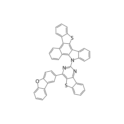 c1ccc2c(c1)oc1ccc(-c3nc(-n4c5ccccc5c5c6sc7ccccc7c6c6ccccc6c54)nc4c3sc3ccccc34)cc12